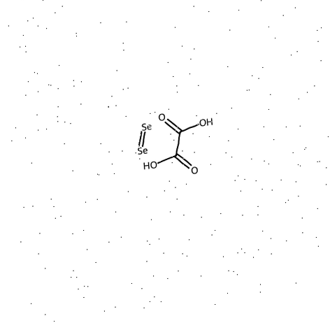 O=C(O)C(=O)O.[Se]=[Se]